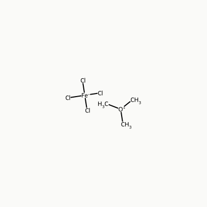 C[O+](C)C.[Cl][Fe-]([Cl])([Cl])[Cl]